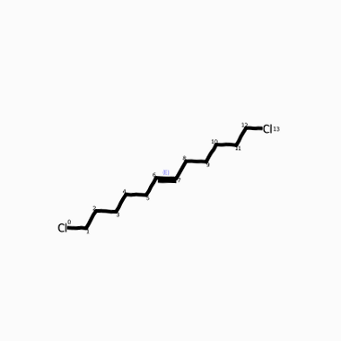 ClCCCCC/C=C/CCCCCCl